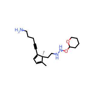 CC1=CC=C(C#CCCCN)[C@@]1(C)CCNNOC1CCCCO1